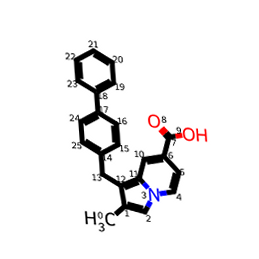 Cc1cn2ccc(C(=O)O)cc2c1Cc1ccc(-c2ccccc2)cc1